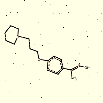 NC(=NO)c1ccc(OCCCN2CCCCC2)cc1